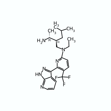 CCN(C[C@H](CC(C)C)[C@@H](C)N)c1ccc(C(F)(F)F)c(-c2n[nH]c3ncccc23)n1